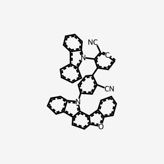 N#Cc1cc(-n2c3ccccc3c3ccc4oc5ccccc5c4c32)ccc1-c1cccc(C#N)c1-n1c2ccccc2c2ccccc21